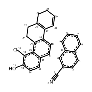 N#Cc1ccc2ccccc2c1.Oc1ccc2ccc3c(c2c1Cl)CCC1=C3C=CCC1